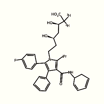 [2H]C([2H])(C(=O)O)[C@H](O)C[C@H](O)CCn1c(-c2ccc(F)cc2)c(-c2ccccc2)c(C(=O)NC2C=CC=CC2)c1C(C)C